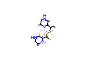 CC(SSC(C)C1CNCCN1)C1CNCCN1